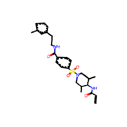 C=CC(=O)NC1C(C)CN(S(=O)(=O)c2ccc(C(=O)NCCc3cccc(C)c3)cc2)CC1C